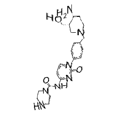 N[C@@H]1CCN(Cc2ccc(-n3ccc(NC(=O)N4CCNCC4)nc3=O)cc2)C[C@@H]1CO